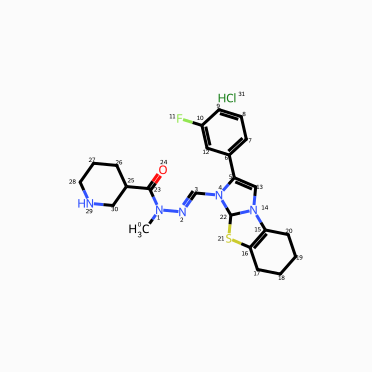 CN(N=CN1C(c2cccc(F)c2)=CN2C3=C(CCCC3)SC12)C(=O)C1CCCNC1.Cl